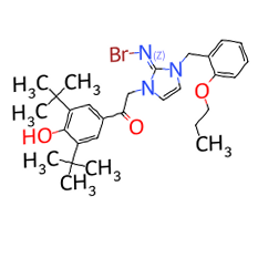 CCCOc1ccccc1Cn1ccn(CC(=O)c2cc(C(C)(C)C)c(O)c(C(C)(C)C)c2)/c1=N\Br